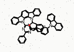 C1=CC2c3ccccc3N(c3cccc(C4=CC=CC(n5c6ccccc6c6ccc7c8ccccc8n(-c8nc(-c9ccccc9)nc(-c9ccccc9)n8)c7c65)C4)n3)C2C=C1